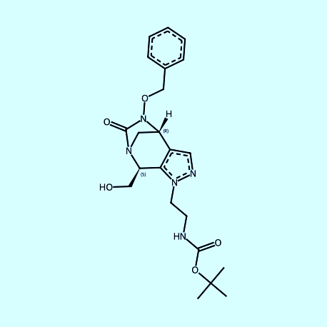 CC(C)(C)OC(=O)NCCn1ncc2c1[C@@H](CO)N1C[C@@H]2N(OCc2ccccc2)C1=O